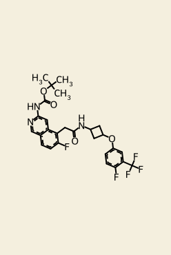 CC(C)(C)OC(=O)Nc1cc2c(CC(=O)NC3CC(Oc4ccc(F)c(C(F)(F)F)c4)C3)c(F)ccc2cn1